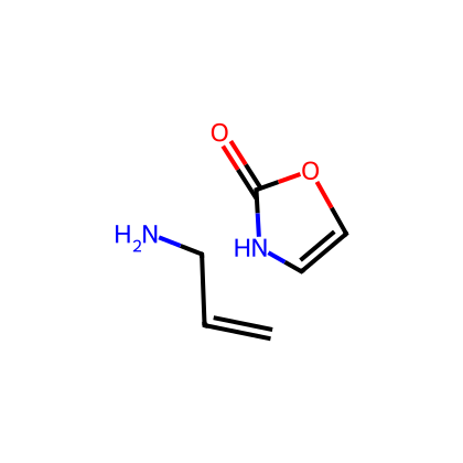 C=CCN.O=c1[nH]cco1